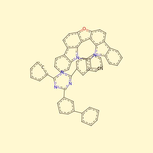 N#Cc1cc(-c2nc(-c3ccccc3)nc(-c3cccc(-c4ccccc4)c3)n2)ccc1-n1c2ccccc2c2ccc3oc4ccc5c6ccccc6n(-c6ccccc6)c5c4c3c21